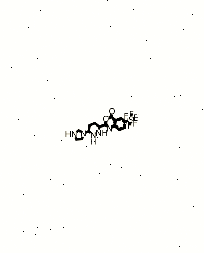 O=c1oc(C2CCC(N3CCNC3)NN2)nc2ccc(S(F)(F)(F)(F)F)cc12